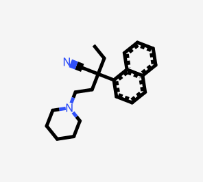 CCC(C#N)(CCN1CCCCC1)c1cccc2ccccc12